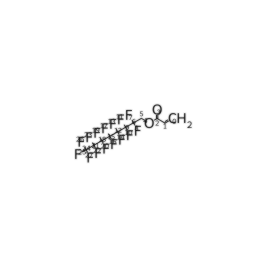 C=CC(=O)OCC(F)(F)C(F)(F)C(F)(F)C(F)(F)C(F)(F)C(F)(F)C(F)(F)F